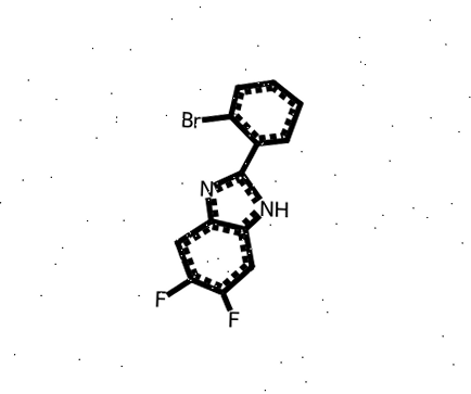 Fc1cc2nc(-c3ccccc3Br)[nH]c2cc1F